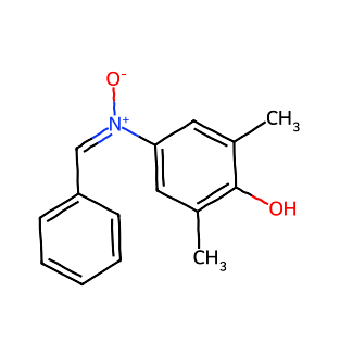 Cc1cc(/[N+]([O-])=C\c2ccccc2)cc(C)c1O